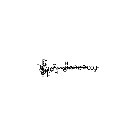 CCc1cccc(N(CC)C(=O)Cn2c(C(=O)N[C@H]3CC[C@H](C(=O)NCCCCCC(=O)NCCOCCOCCOCCOCCC(=O)O)CC3)cc3sccc32)c1